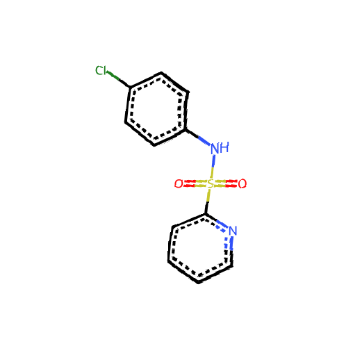 O=S(=O)(Nc1ccc(Cl)cc1)c1ccccn1